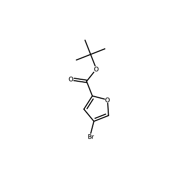 CC(C)(C)OC(=O)c1cc(Br)co1